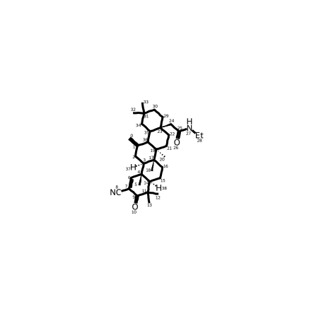 C=C1C[C@@H]2[C@@]3(C)C=C(C#N)C(=O)C(C)(C)[C@@H]3CC[C@@]2(C)[C@]2(C)CC[C@@]3(CC(=O)NCC)CCC(C)(C)CC3C12